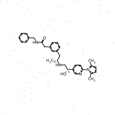 Cc1ccc(C)n1-c1ccc([C@H](O)CN[C@H](C)Cc2cccc(CC(=O)NCc3ccccc3)c2)cn1